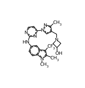 Cc1nn(-c2ccnc(Nc3ccc4c(c3)c(C(F)(F)F)c(C)n4C)n2)cc1CN1CC(O)C1